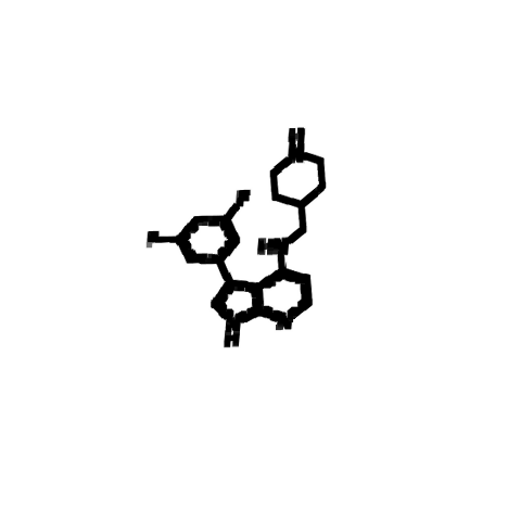 Fc1cc(F)cc(-c2c[nH]c3nccc(NCC4CCNCC4)c23)c1